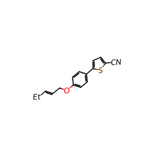 CCC=CCOc1ccc(-c2ccc(C#N)s2)cc1